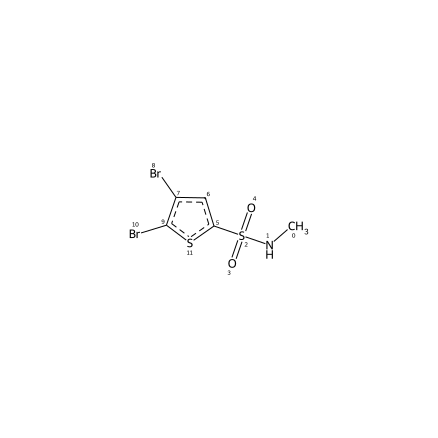 CNS(=O)(=O)c1cc(Br)c(Br)s1